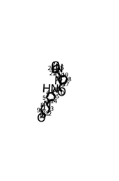 O=C(Nc1ccc(N2CC[S+]([O-])CC2)cc1)c1cccc(-c2ccon2)n1